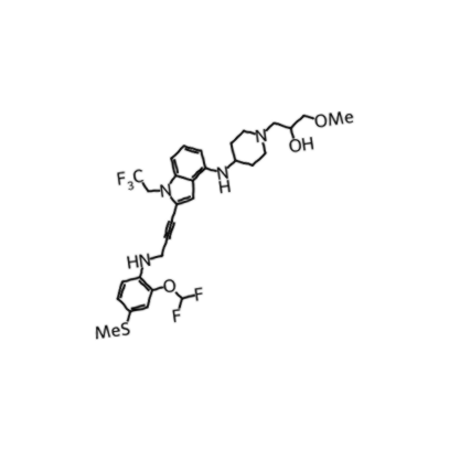 COCC(O)CN1CCC(Nc2cccc3c2cc(C#CCNc2ccc(SC)cc2OC(F)F)n3CC(F)(F)F)CC1